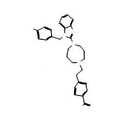 O=C([O-])c1ccc(CCN2CCCN(c3nc4ccccc4n3Cc3ccc(F)cc3)CCC2)cc1.[Na+]